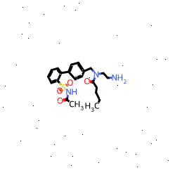 CCCCC(=O)N(CCN)Cc1ccc(-c2ccccc2S(=O)(=O)NC(C)=O)cc1